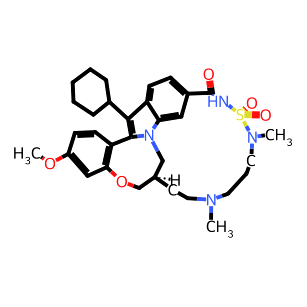 COc1ccc2c(c1)OC[C@@H]1CCN(C)CCCN(C)S(=O)(=O)NC(=O)c3ccc4c(C5CCCCC5)c-2n(c4c3)C1